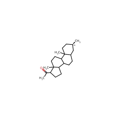 CC(=O)C1CCC2C3CCC4C[C@H](C)CCC4(C)C3CCC12C